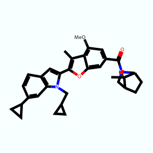 COc1cc(C(=O)N2CC3CCC2[C@@H]3C)cc2oc(-c3cc4ccc(C5CC5)cc4n3CC3CC3)c(C)c12